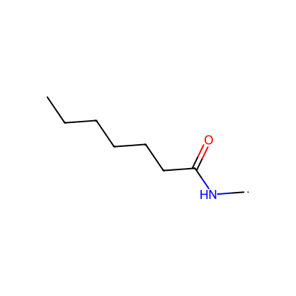 [CH2]NC(=O)CCCCCC